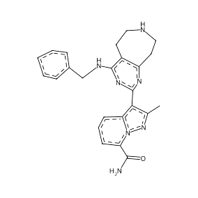 Cc1nn2c(C(N)=O)cccc2c1-c1nc2c(c(NCc3ccccc3)n1)CCNCC2